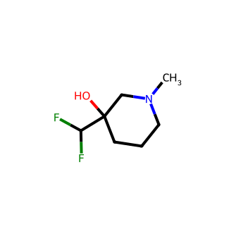 CN1CCCC(O)(C(F)F)C1